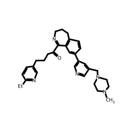 CCc1ccc(CCCC(=O)C2=NCCCc3ccc(-c4cncc(CN5CCN(C)CC5)c4)cc32)cn1